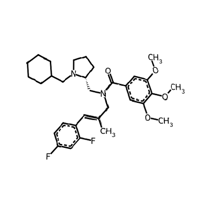 COc1cc(C(=O)N(CC(C)=Cc2ccc(F)cc2F)C[C@H]2CCCN2CC2CCCCC2)cc(OC)c1OC